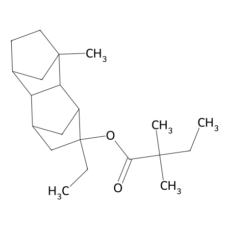 CCC(C)(C)C(=O)OC1(CC)CC2CC1C1C2C2CCC1(C)C2